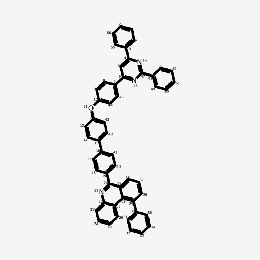 c1ccc(-c2cc(-c3ccc(Oc4ccc(-c5ccc(-c6nc7ccccc7c7c(-c8ccccc8)cccc67)cc5)cc4)cc3)nc(-c3ccccc3)n2)cc1